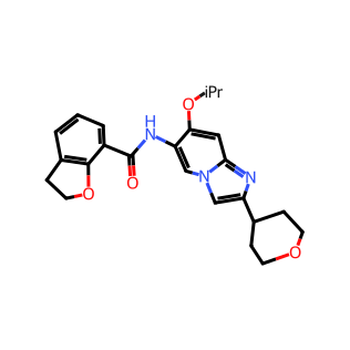 CC(C)Oc1cc2nc(C3CCOCC3)cn2cc1NC(=O)c1cccc2c1OCC2